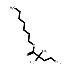 CCCCCCCOC(=O)C(C)(C)CCC